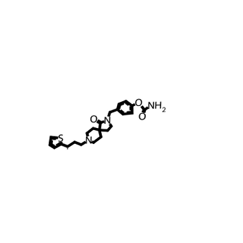 NC(=O)Oc1ccc(CN2CCC3(CCN(CC[CH]c4cccs4)CC3)C2=O)cc1